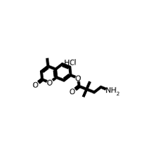 Cc1cc(=O)oc2cc(OC(=O)C(C)(C)CCN)ccc12.Cl